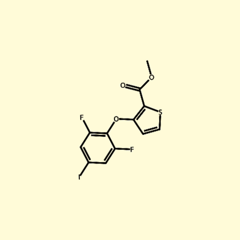 COC(=O)c1sccc1Oc1c(F)cc(I)cc1F